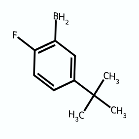 Bc1cc(C(C)(C)C)ccc1F